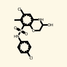 Cc1c(Cl)cc2c(c1S(=O)(=O)Nc1ccc(Cl)cc1)OCC(O)N2